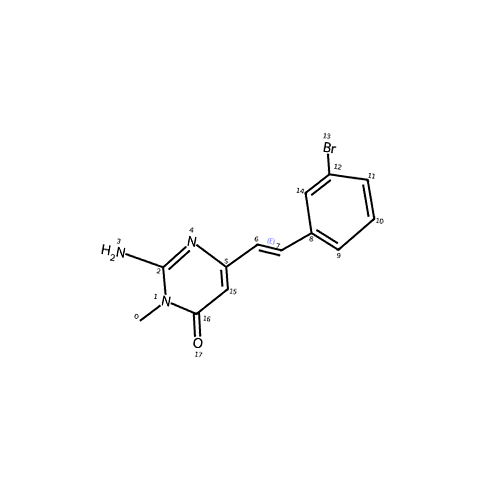 Cn1c(N)nc(/C=C/c2cccc(Br)c2)cc1=O